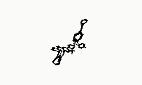 Cc1ccc(N(c2ccc(-c3ccccc3)cc2)c2ccc3c(c2)C(C)(C)c2cc4c(cc2-3)C(C)(C)c2cccc3c5ccccc5n-4c23)cc1